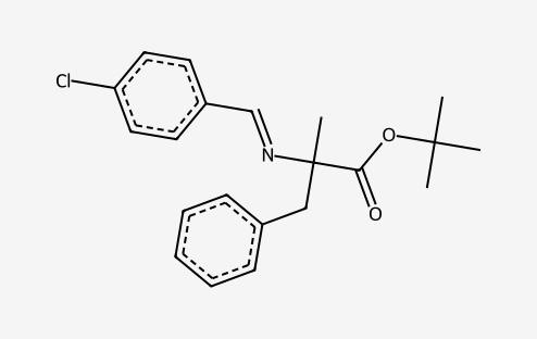 CC(C)(C)OC(=O)C(C)(Cc1ccccc1)N=Cc1ccc(Cl)cc1